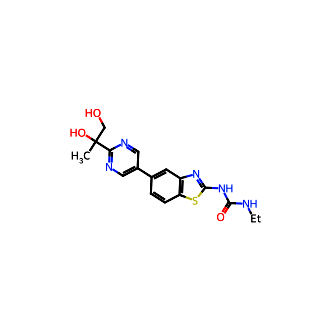 CCNC(=O)Nc1nc2cc(-c3cnc(C(C)(O)CO)nc3)ccc2s1